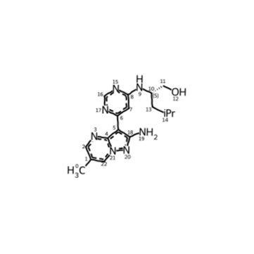 Cc1cnc2c(-c3cc(N[C@H](CO)CC(C)C)ncn3)c(N)nn2c1